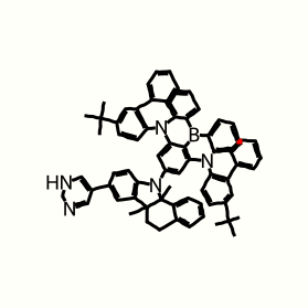 CC(C)(C)c1ccc(N2c3ccccc3B3c4ccccc4N(c4ccc(C(C)(C)C)cc4-c4ccccc4)c4cc(N5c6ccc(C7=CNCN=C7)cc6C6(C)CCc7ccccc7C56C)cc2c43)c(-c2ccccc2)c1